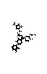 Cc1cccc(N2CCc3c(nc(OC[C@@H]4C[C@@H](CF)CN4)nc3N3CCN[C@@H](CC#N)C3)C2)c1C